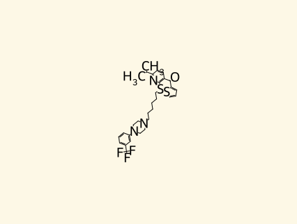 CC(C)c1ccc(C(=O)c2cccs2)c(SCCCCCCN2CCN(c3cccc(C(F)(F)F)c3)CC2)n1